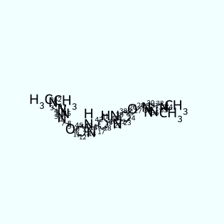 CN(C)Cc1cn(CCOc2ccc3nc(-c4ccc(-c5nc6ccc(OCCn7cc(CN(C)C)nn7)cc6[nH]5)cc4)[nH]c3c2)nn1